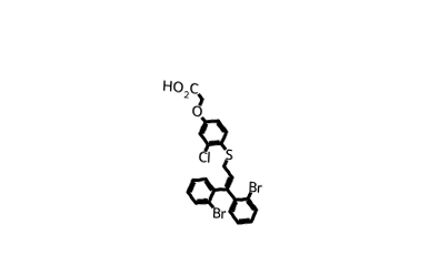 O=C(O)COc1ccc(SCC=C(c2ccccc2Br)c2ccccc2Br)c(Cl)c1